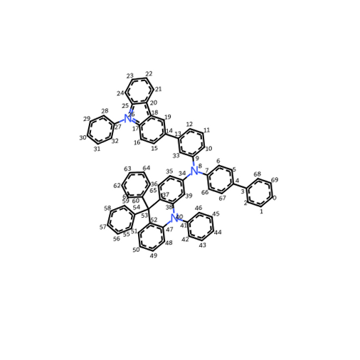 c1ccc(-c2ccc(N(c3cccc(-c4ccc5c(c4)c4ccccc4n5-c4ccccc4)c3)c3ccc4c(c3)N(c3ccccc3)c3ccccc3C4(c3ccccc3)c3ccccc3)cc2)cc1